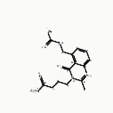 CCCC(=O)NCc1cccc2nc(C)n(CCCC(=O)NC(C)=O)c(=O)c12